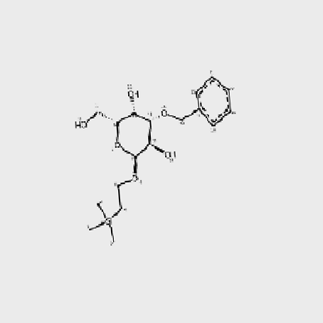 C[Si](C)(C)CCO[C@H]1O[C@H](CO)[C@H](O)[C@H](OCc2ccccc2)[C@H]1O